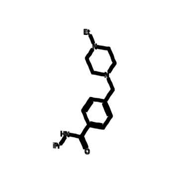 CCN1CCN(Cc2ccc(C(=O)NC(C)C)cc2)CC1